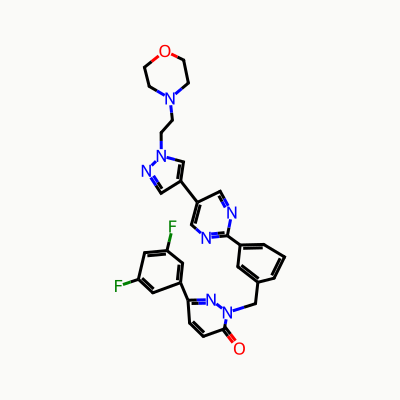 O=c1ccc(-c2cc(F)cc(F)c2)nn1Cc1cccc(-c2ncc(-c3cnn(CCN4CCOCC4)c3)cn2)c1